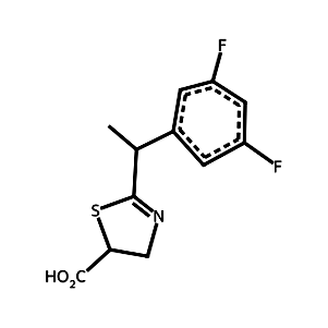 CC(C1=NCC(C(=O)O)S1)c1cc(F)cc(F)c1